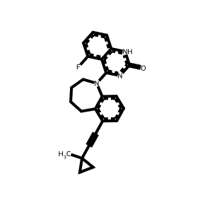 CC1(C#Cc2cccc3c2CCCCN3c2nc(=O)[nH]c3cccc(F)c23)CC1